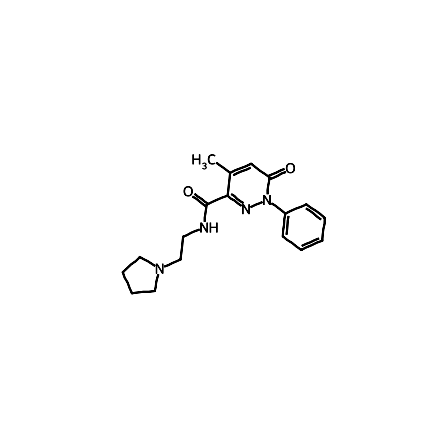 Cc1cc(=O)n(-c2ccccc2)nc1C(=O)NCCN1CCCC1